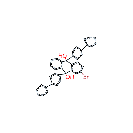 OC1(c2ccc(-c3ccccc3)cc2)c2ccccc2C(O)(c2ccc(-c3ccccc3)cc2)c2cc(Br)ccc21